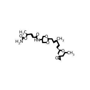 CC(C=C[C@@H]1C[C@@]2(CO2)CC(C)O1)=CCC1OCC(NC(=O)C=CC(C)OC(N)=O)CO1